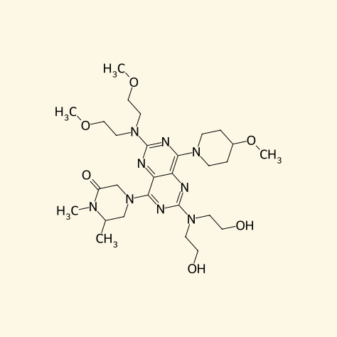 COCCN(CCOC)c1nc(N2CCC(OC)CC2)c2nc(N(CCO)CCO)nc(N3CC(=O)N(C)C(C)C3)c2n1